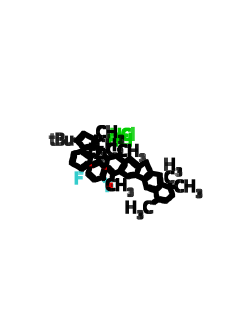 Cl.Cl.[CH2]=[Zr]([C]1=CC(C(C)(C)C)=CC1C)([c]1cccc(F)c1)([c]1cccc(F)c1)[CH]1C=C(C)c2cc3c(cc2C1(C)C)Cc1cc2c(cc1-3)C(C)=CCC2(C)C